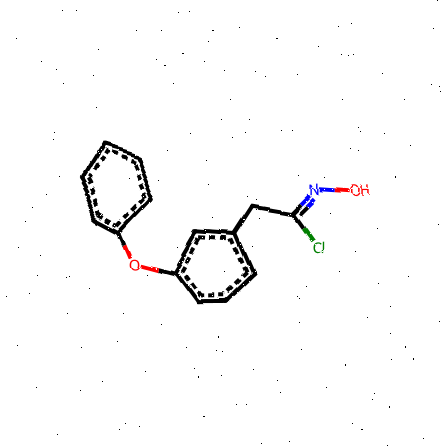 ON=C(Cl)Cc1cccc(Oc2ccccc2)c1